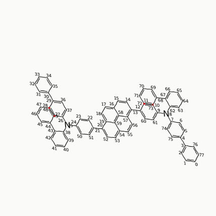 c1ccc(-c2ccc(N(c3ccc(-c4ccc5ccc6c(-c7ccc(N(c8ccc(-c9ccccc9)cc8)c8ccccc8-c8ccccc8)cc7)ccc7ccc4c5c76)cc3)c3ccccc3-c3ccccc3)cc2)cc1